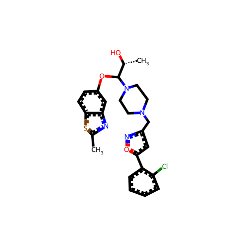 Cc1nc2cc(OC([C@@H](C)O)N3CCN(Cc4cc(-c5ccccc5Cl)on4)CC3)ccc2s1